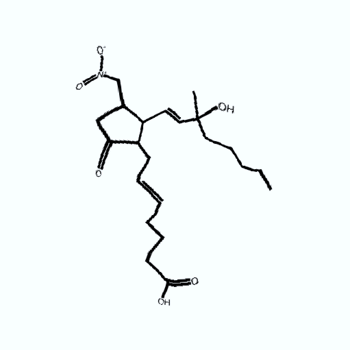 CCCCCC(C)(O)C=CC1C(C[N+](=O)[O-])CC(=O)C1CC=CCCCC(=O)O